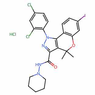 CC1(C)Oc2cc(I)ccc2-c2c1c(C(=O)NN1CCCCC1)nn2-c1ccc(Cl)cc1Cl.Cl